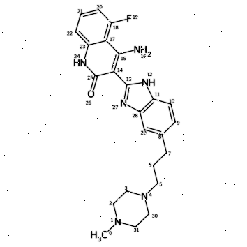 CN1CCN(CCCc2ccc3[nH]c(-c4c(N)c5c(F)cccc5[nH]c4=O)nc3c2)CC1